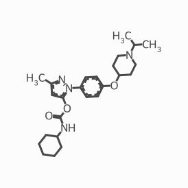 Cc1cc(OC(=O)NC2CCCCC2)n(-c2ccc(OC3CCN(C(C)C)CC3)cc2)n1